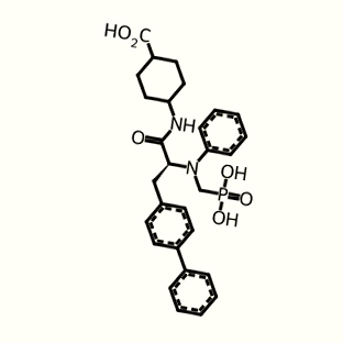 O=C(O)C1CCC(NC(=O)[C@H](Cc2ccc(-c3ccccc3)cc2)N(CP(=O)(O)O)c2ccccc2)CC1